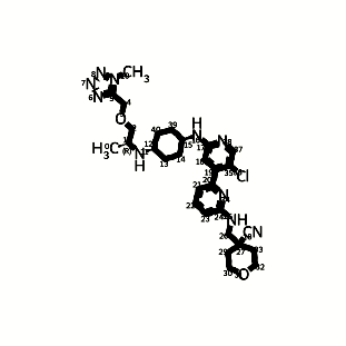 C[C@H](COCc1nnnn1C)N[C@H]1CC[C@H](Nc2cc(-c3cccc(NCC4(C#N)CCOCC4)n3)c(Cl)cn2)CC1